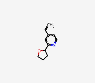 C=Cc1ccnc(C2CCCO2)c1